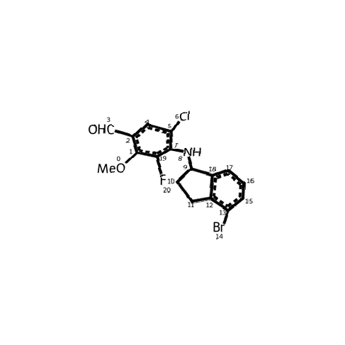 COc1c(C=O)cc(Cl)c(NC2CCc3c(Br)cccc32)c1F